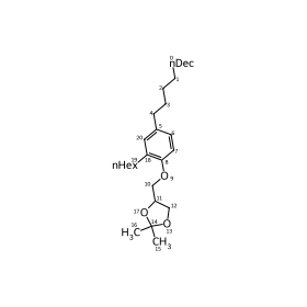 CCCCCCCCCCCCCCc1ccc(OCC2COC(C)(C)O2)c(CCCCCC)c1